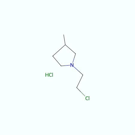 CC1CCN(CCCl)C1.Cl